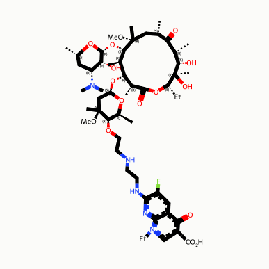 CC[C@@H]1OC(=O)[C@H](C)[C@H](O[C@@H]2C[C@](C)(OC)[C@H](OCCNCCNc3nc4c(cc3F)c(=O)c(C(=O)O)cn4CC)[C@H](C)O2)[C@@H](C)[C@H](O[C@H]2O[C@@H](C)C[C@@H](N(C)C)[C@H]2O)[C@](C)(OC)C[C@H](C)C(=O)[C@H](C)[C@H](O)[C@@]1(C)O